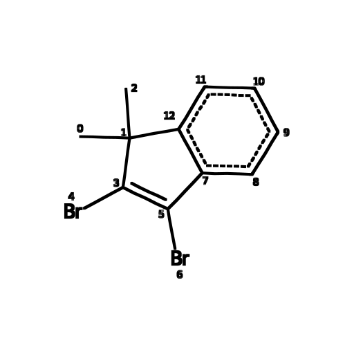 CC1(C)C(Br)=C(Br)c2ccccc21